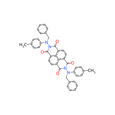 Cc1ccc(N(Cc2ccccc2)N2C(=O)c3ccc4c5c(ccc(c35)C2=O)C(=O)N(N(Cc2ccccc2)c2ccc(C)cc2)C4=O)cc1